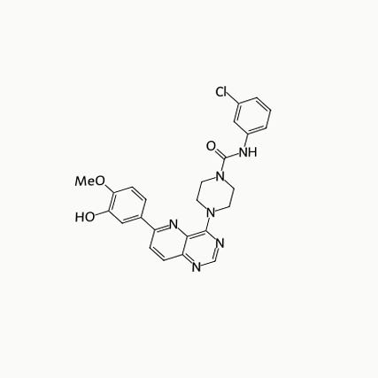 COc1ccc(-c2ccc3ncnc(N4CCN(C(=O)Nc5cccc(Cl)c5)CC4)c3n2)cc1O